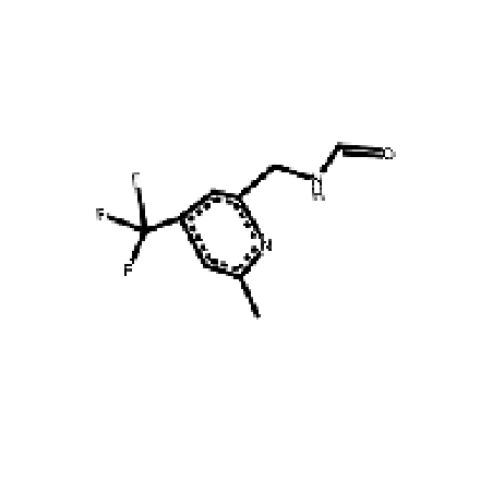 Cc1cc(C(F)(F)F)cc(CNC=O)n1